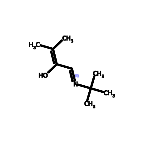 CC(C)=C(O)/C=N/C(C)(C)C